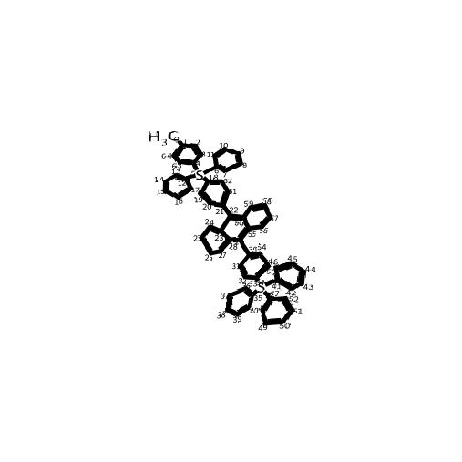 Cc1ccc(S(c2ccccc2)(c2ccccc2)c2ccc(-c3c4ccccc4c(-c4ccc(S(c5ccccc5)(c5ccccc5)c5ccccc5)cc4)c4ccccc34)cc2)cc1